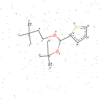 CCC(C)(C)CCOC(OC(C)(C)CC)c1cccs1